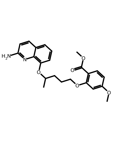 COC(=O)c1ccc(OC)cc1OCCCC(C)Oc1cccc2ccc(N)nc12